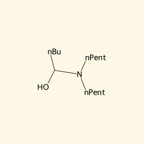 CCCCCN(CCCCC)C(O)CCCC